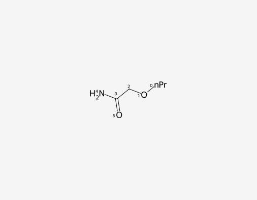 [CH2]CCOCC(N)=O